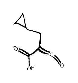 O=C=C(CC1CC1)C(=O)O